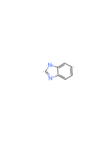 [C]1=Nc2cc[c]cc2[N]1